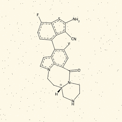 N#Cc1c(N)sc2c(F)ccc(-c3c(F)cc4c5c3ccn5CC[C@H]3CNCCN3C4=O)c12